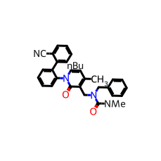 CCCCc1cc(C)c(CN(Cc2ccccc2)C(=O)NC)c(=O)n1-c1ccccc1-c1ccccc1C#N